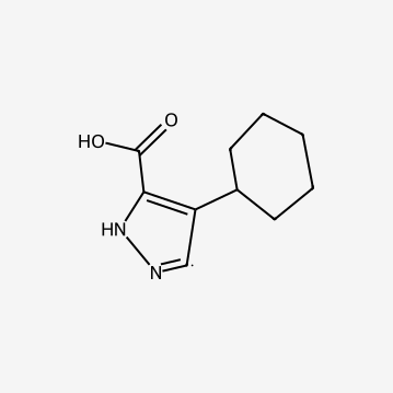 O=C(O)c1[nH]n[c]c1C1CCCCC1